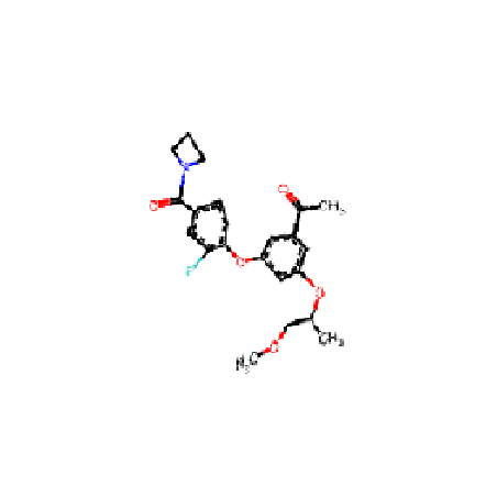 COC[C@H](C)Oc1cc(Oc2ccc(C(=O)N3CCC3)cc2F)cc(C(C)=O)c1